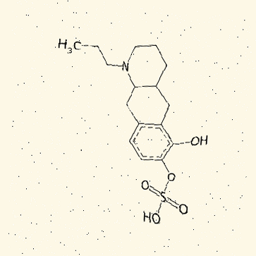 CCCN1CCCC2Cc3c(ccc(OS(=O)(=O)O)c3O)CC21